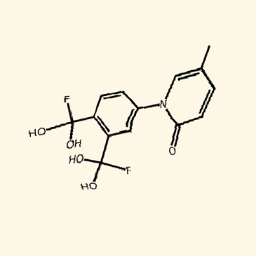 Cc1ccc(=O)n(-c2ccc(C(O)(O)F)c(C(O)(O)F)c2)c1